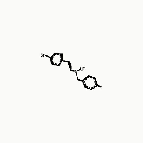 [O-][S+](C=Cc1ccc(Br)cc1)Cc1ccc(I)cc1